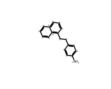 Nc1ccc(CCc2[c]ccc3ccccc23)cc1